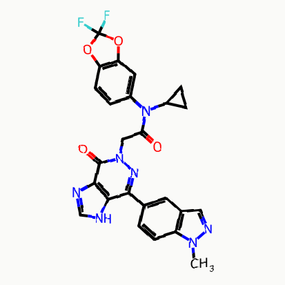 Cn1ncc2cc(-c3nn(CC(=O)N(c4ccc5c(c4)OC(F)(F)O5)C4CC4)c(=O)c4nc[nH]c34)ccc21